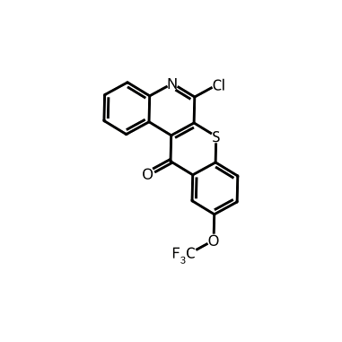 O=c1c2cc(OC(F)(F)F)ccc2sc2c(Cl)nc3ccccc3c12